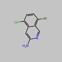 Nc1cc2c(Cl)ccc(Br)c2cn1